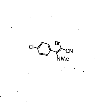 CN/C(=C(/Br)C#N)c1ccc(Cl)cc1